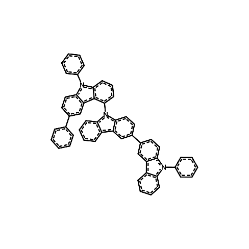 c1ccc(-c2ccc3c(c2)c2c(-n4c5ccccc5c5cc(-c6ccc7c(c6)c6ccccc6n7-c6ccccc6)ccc54)cccc2n3-c2ccccc2)cc1